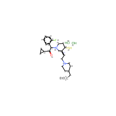 CCOC(=O)CC1CCN(C/C=C2\CN(C(C(=O)C3CC3)c3ccccc3F)CCC2S)CC1.Cl.Cl